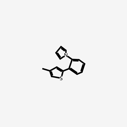 Cc1csc(-c2ccccc2-n2cccc2)c1